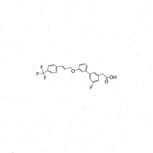 O=C(O)Cc1cc(F)cc(-c2cccc(OCC=Cc3ccc(C(F)(F)F)cc3)c2)c1